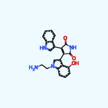 NCCn1cc(C2=C(c3c[nH]c4ccccc34)C(=O)NC2=O)c2c(O)cccc21